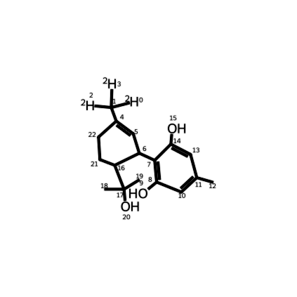 [2H]C([2H])([2H])C1=CC(c2c(O)cc(C)cc2O)C(C(C)(C)O)CC1